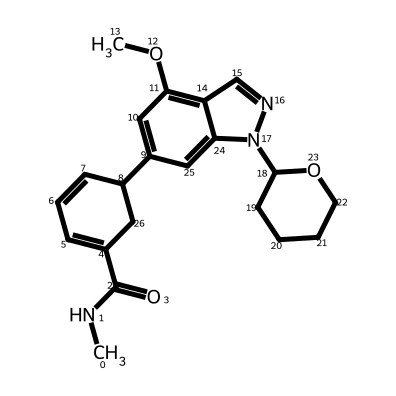 CNC(=O)C1=CC=CC(c2cc(OC)c3cnn(C4CCCCO4)c3c2)C1